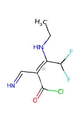 CCN/C(=C(\C=N)C(=O)Cl)C(F)F